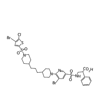 O=C(O)C(CNS(=O)(=O)c1cnc(N2CCC(CCCC3CCN(S(=O)(=O)c4cc(Br)c(Cl)s4)CC3)CC2)c(Br)c1)c1ccccc1